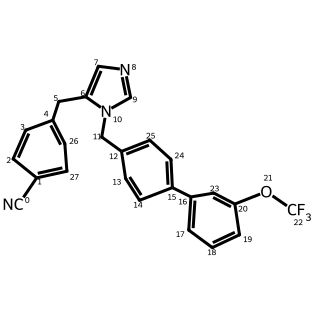 N#Cc1ccc(Cc2cncn2Cc2ccc(-c3cccc(OC(F)(F)F)c3)cc2)cc1